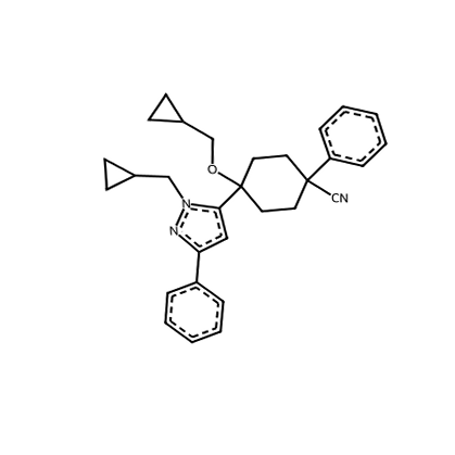 N#CC1(c2ccccc2)CCC(OCC2CC2)(c2cc(-c3ccccc3)nn2CC2CC2)CC1